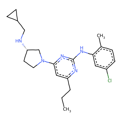 CCCc1cc(N2CC[C@H](NCC3CC3)C2)nc(Nc2cc(Cl)ccc2C)n1